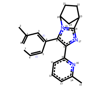 C=C(C)/C=C(\C=C/C)c1c(-c2cccc(C)n2)nc2n1C1CCC2C1